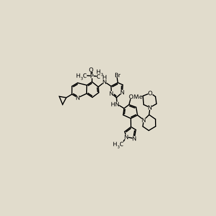 COc1cc(N2CCCCC2N2CCOCC2)c(-c2cnn(C)c2)cc1Nc1ncc(Br)c(Nc2ccc3nc(C4CC4)ccc3c2P(C)(C)=O)n1